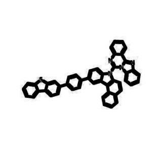 c1ccc2c(c1)ccc1c2c2cc(-c3ccc(-c4ccc5c(c4)sc4ccccc45)cc3)ccc2n1-c1nc2ccccc2c2nc3ccccc3n12